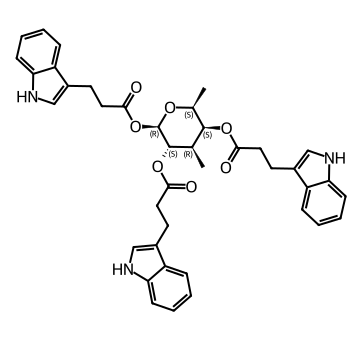 C[C@H]1[C@H](OC(=O)CCc2c[nH]c3ccccc23)[C@@H](OC(=O)CCc2c[nH]c3ccccc23)O[C@@H](C)[C@H]1OC(=O)CCc1c[nH]c2ccccc12